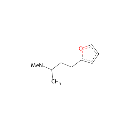 CNC(C)CCc1ccco1